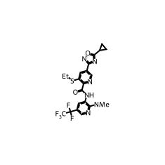 CCSc1cc(-c2noc(C3CC3)n2)cnc1C(=O)Nc1cc(C(F)(F)C(F)(F)F)cnc1NC